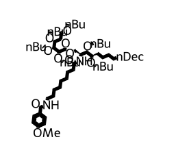 CCCCCCCCCCCCCC[C@@H](OCCCC)[C@@H](OCCCC)[C@H](CO[C@H]1OC(COCCCC)[C@H](OCCCC)[C@H](OCCCC)C1OCCCC)NC(=O)CCCCCCCCNC(=O)c1ccc(OC)cc1